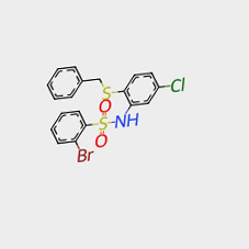 O=S(=O)(Nc1cc(Cl)ccc1SCc1ccccc1)c1ccccc1Br